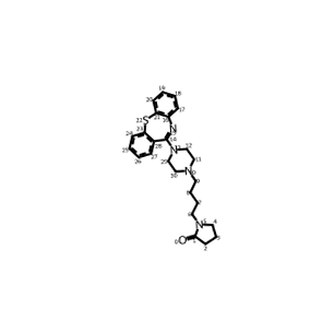 O=C1CCCN1CCCCN1CCN(C2=Nc3ccccc3Sc3ccccc32)CC1